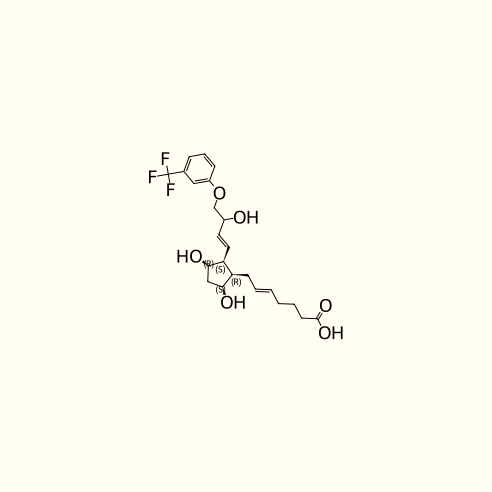 O=C(O)CCCC=CC[C@@H]1[C@H](C=CC(O)COc2cccc(C(F)(F)F)c2)[C@H](O)C[C@@H]1O